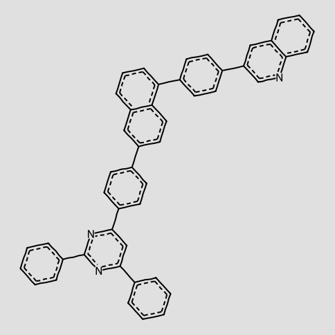 c1ccc(-c2cc(-c3ccc(-c4ccc5c(-c6ccc(-c7cnc8ccccc8c7)cc6)cccc5c4)cc3)nc(-c3ccccc3)n2)cc1